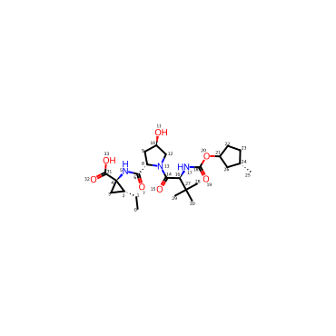 CC[C@@H]1C[C@]1(NC(=O)[C@@H]1C[C@@H](O)CN1C(=O)[C@@H](NC(=O)OC1CC[C@H](C)C1)C(C)(C)C)C(=O)O